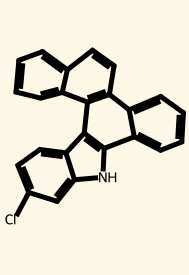 Clc1ccc2c(c1)[nH]c1c3ccccc3c3ccc4ccccc4c3c21